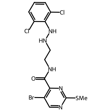 CSc1ncc(Br)c(C(=O)NCCNNc2c(Cl)cccc2Cl)n1